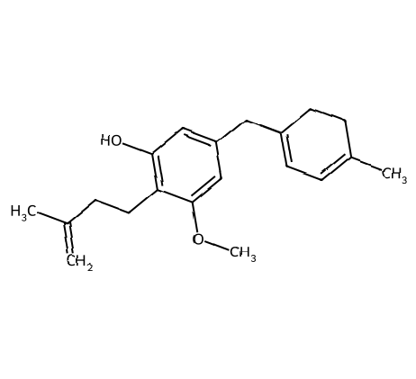 C=C(C)CCc1c(O)cc(CC2=CC=C(C)CC2)cc1OC